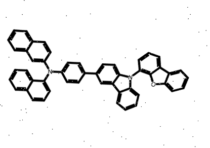 c1ccc2cc(N(c3ccc(-c4ccc5c(c4)c4ccccc4n5-c4cccc5c4oc4ccccc45)cc3)c3cccc4ccccc34)ccc2c1